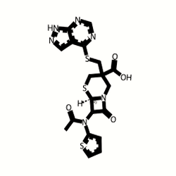 CC(=O)N(c1cccs1)C1C(=O)N2CC(CSc3ncnc4[nH]ncc34)(C(=O)O)CS[C@H]12